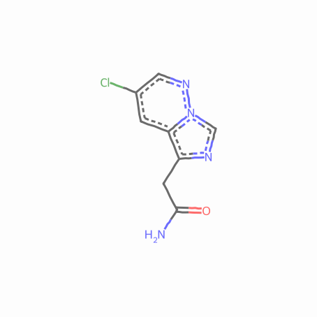 NC(=O)Cc1ncn2ncc(Cl)cc12